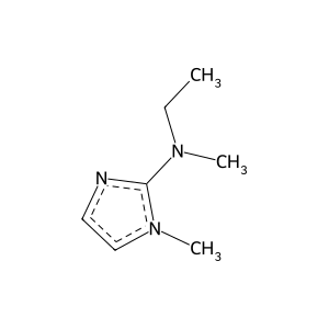 CCN(C)c1nccn1C